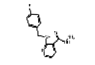 NNC(=O)c1cccnc1NCc1ccc(F)cc1